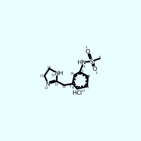 CS(=O)(=O)Nc1cccc(CC2=NCCN2)c1.Cl